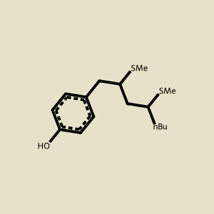 CCCCC(CC(Cc1ccc(O)cc1)SC)SC